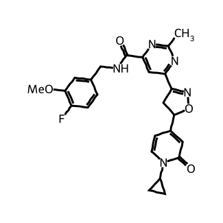 COc1cc(CNC(=O)c2cc(C3=NOC(c4ccn(C5CC5)c(=O)c4)C3)nc(C)n2)ccc1F